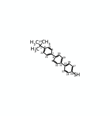 CC(C)(C)c1ccc(-c2ccc(-c3ccc(S)cc3)cc2)cc1